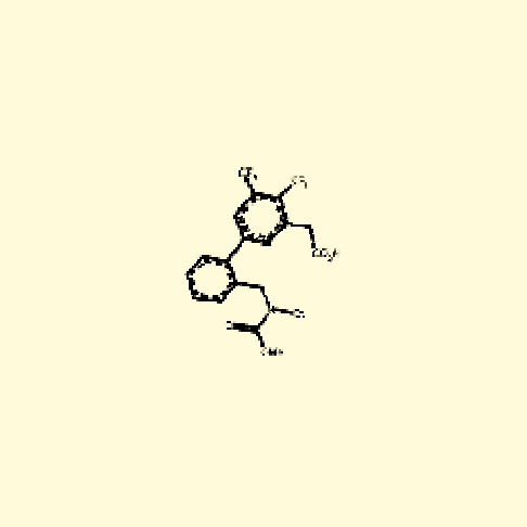 CCN(Cc1ccccc1-c1cc(CC(=O)O)c(C(F)(F)F)c(C(F)(F)F)c1)C(=O)OC